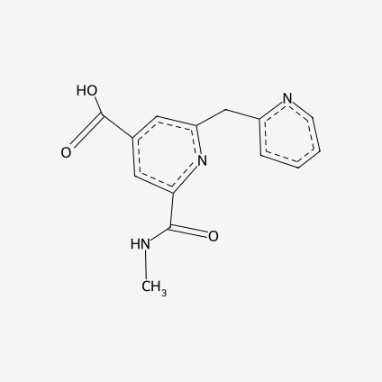 CNC(=O)c1cc(C(=O)O)cc(Cc2ccccn2)n1